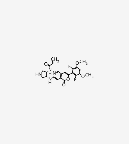 C=CC(=O)N[C@H]1CNC[C@H]1Nc1cc2c(=O)oc(-c3c(F)c(OC)cc(OC)c3F)cc2cn1